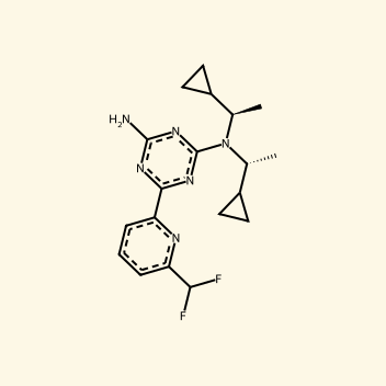 C[C@H](C1CC1)N(c1nc(N)nc(-c2cccc(C(F)F)n2)n1)[C@H](C)C1CC1